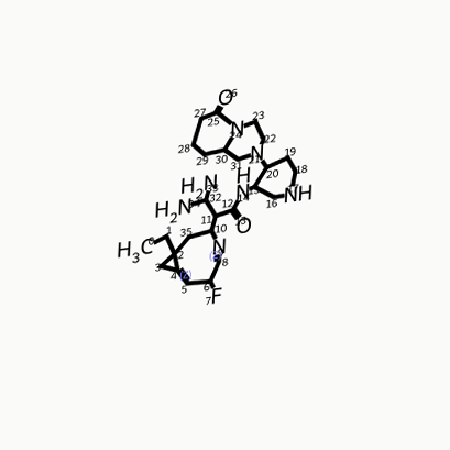 CCC12C/C1=C/C(F)/C=N\C(C(C(=O)NC1CNCCC1N1CCN3C(=O)CCCC3C1)C(N)N)C2